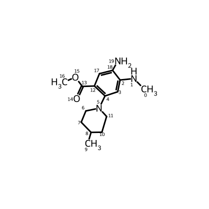 CNc1cc(N2CCC(C)CC2)c(C(=O)OC)cc1N